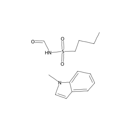 CCCCS(=O)(=O)NC=O.Cn1ccc2ccccc21